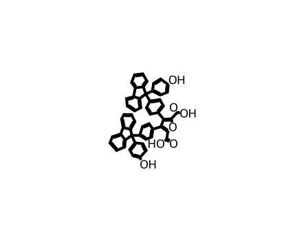 O=C(O)c1oc(C(=O)O)c(-c2ccc(C3(c4ccc(O)cc4)c4ccccc4-c4ccccc43)cc2)c1-c1ccc(C2(c3ccc(O)cc3)c3ccccc3-c3ccccc32)cc1